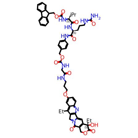 CCc1c2c(nc3ccc(OCCCNC(=O)CNC(=O)OCc4ccc(NC(=O)[C@H](CCCNC(N)=O)NC(=O)[C@@H](NC(=O)OCC5c6ccccc6-c6ccccc65)C(C)C)cc4)cc13)-c1cc3c(c(=O)n1C2)COC(=O)[C@]3(O)CC